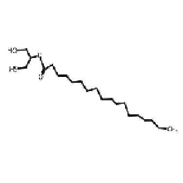 CCCCCCCCCCCCCCCCCC(=O)OC(CO)CS